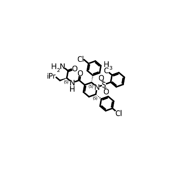 Cc1ccccc1S(=O)(=O)N1[C@@H](c2cccc(Cl)c2)C(C(=O)N[C@@H](CC(C)C)C(N)=O)=CC[C@H]1c1ccc(Cl)cc1